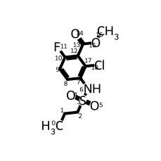 CCCS(=O)(=O)Nc1ccc(F)c(C(=O)OC)c1Cl